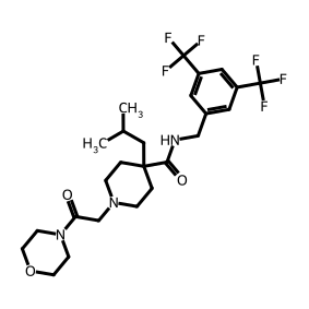 CC(C)CC1(C(=O)NCc2cc(C(F)(F)F)cc(C(F)(F)F)c2)CCN(CC(=O)N2CCOCC2)CC1